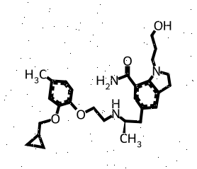 Cc1ccc(OCCN[C@H](C)Cc2cc3c(c(C(N)=O)c2)N(CCCO)CC3)c(OCC2CC2)c1